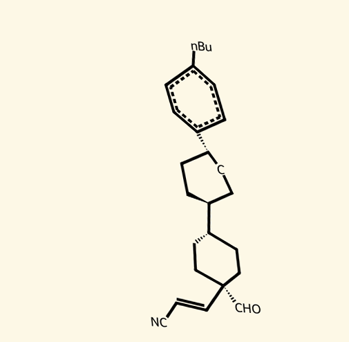 CCCCc1ccc([C@H]2CC[C@H]([C@H]3CC[C@](C=O)(C=CC#N)CC3)CC2)cc1